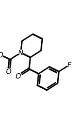 O=C(c1cccc(F)c1)C1CCCCN1C(=O)O